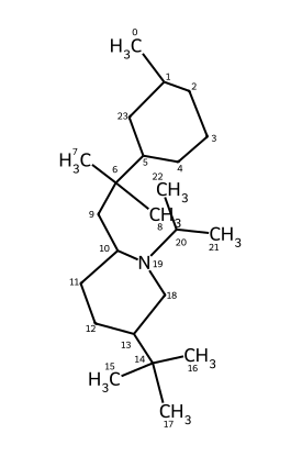 CC1CCCC(C(C)(C)CC2CCC(C(C)(C)C)CN2C(C)C)C1